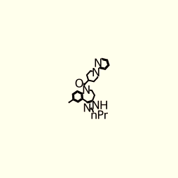 CCCc1nc2c([nH]1)CCN(C(=O)C1CCN(c3ccccn3)CC1)c1ccc(C)cc1-2